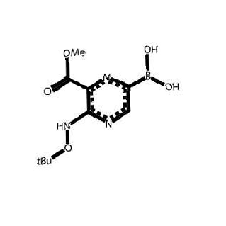 COC(=O)c1nc(B(O)O)cnc1NOC(C)(C)C